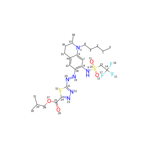 CCCCCN1c2cc(NS(=O)(=O)CC(F)(F)F)c(N=Nc3nnc(C(=O)OCC(C)C)s3)cc2CCC1C